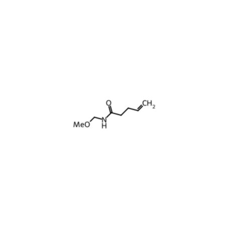 C=CCCC(=O)NCOC